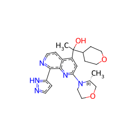 C[C@@H]1COCCN1c1cc(C(C)(O)C2CCOCC2)c2ccnc(-c3ccn[nH]3)c2n1